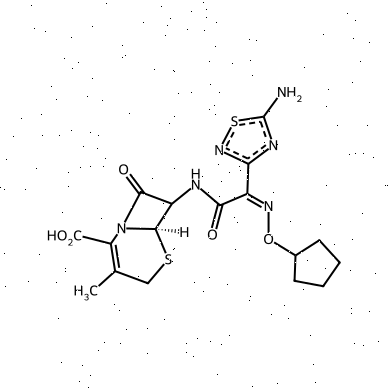 CC1=C(C(=O)O)N2C(=O)C(NC(=O)/C(=N\OC3CCCC3)c3nsc(N)n3)[C@H]2SC1